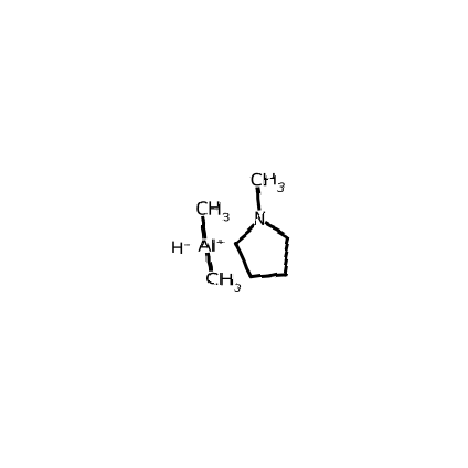 CN1CCCC1.[CH3][Al+][CH3].[H-]